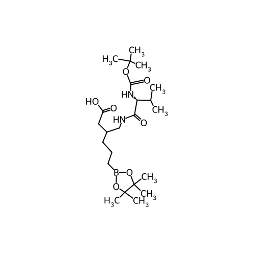 CC(C)[C@H](NC(=O)OC(C)(C)C)C(=O)NCC(CCCB1OC(C)(C)C(C)(C)O1)CC(=O)O